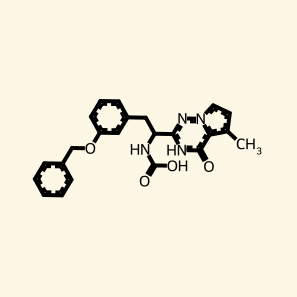 Cc1ccn2nc(C(Cc3cccc(OCc4ccccc4)c3)NC(=O)O)[nH]c(=O)c12